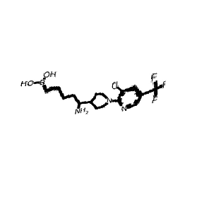 NC(CCCCB(O)O)C1CCN(c2ncc(C(F)(F)F)cc2Cl)CC1